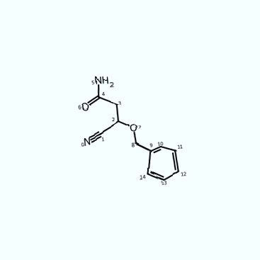 N#CC(CC(N)=O)OCc1ccccc1